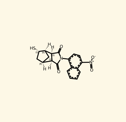 O=C1[C@@H]2[C@H]3C[C@H](C[C@@H]3S)[C@@H]2C(=O)N1c1ccc([N+](=O)[O-])c2ccccc12